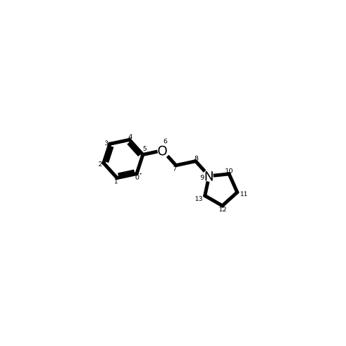 [c]1ccccc1OCCN1CCCC1